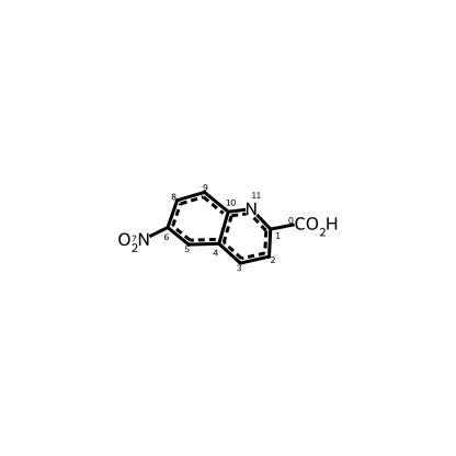 O=C(O)c1ccc2cc([N+](=O)[O-])ccc2n1